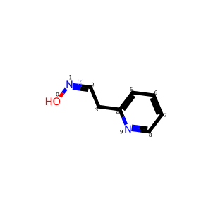 O/N=C\Cc1ccccn1